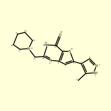 Cc1[nH]ncc1-c1cc2nc(CN3CCCCC3)[nH]c(=O)c2s1